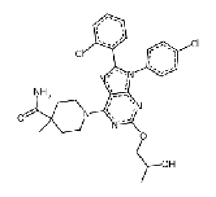 CC(O)COc1nc(N2CCC(C)(C(N)=O)CC2)c2nc(-c3ccccc3Cl)n(-c3ccc(Cl)cc3)c2n1